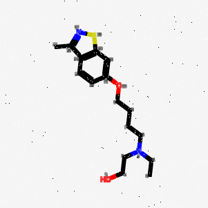 CCN(CCO)CCCCOc1ccc2c(C)nsc2c1